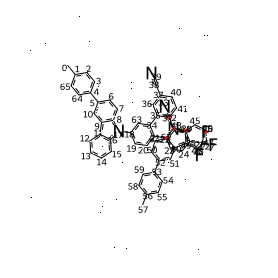 Cc1ccc(-c2ccc3c(c2)c2ccccc2n3-c2ccc(-c3ccc(C(F)(F)F)cc3C#N)c(-c3cc(C#N)ccc3-n3c4ccccc4c4cc(-c5ccc(C)cc5)ccc43)c2)cc1